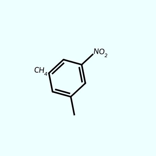 C.Cc1cccc([N+](=O)[O-])c1